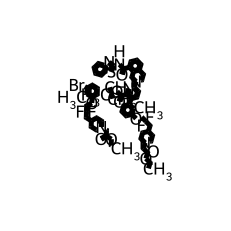 CCOC(=O)CN1CCC(CC(F)(F)COc2cccc(-c3ccc(N4CCc5cccc(C(=O)Nc6nc7ccccc7s6)c5C4)nc3C(=O)OC(C)(C)C)c2C)CC1.CCOC(=O)CN1CCC(CC(F)(F)COc2cccc(Br)c2C)CC1